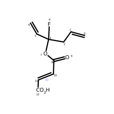 C=CCC(F)(C=C)OC(=O)/C=C/C(=O)O